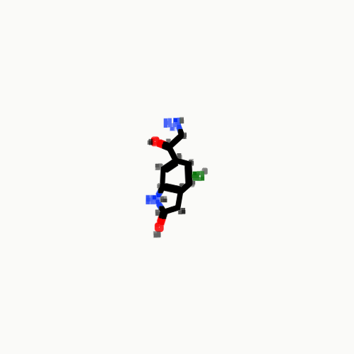 Cl.NCC(=O)c1ccc2c(c1)NC(=O)C2